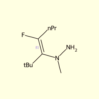 CCC/C(F)=C(\N(C)N)C(C)(C)C